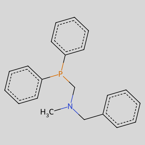 CN(Cc1ccccc1)CP(c1ccccc1)c1ccccc1